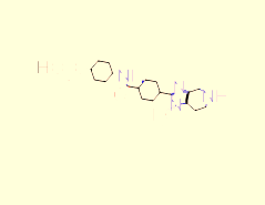 Cn1c(C2CCC(C(=O)N[C@H]3CC[C@H](C(=O)O)CC3)CC2)nc2c1CCNC2